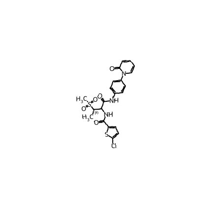 C[C@H](C(NC(=O)c1ccc(Cl)s1)C(=O)Nc1ccc(-n2ccccc2=O)cc1)S(C)(=O)=O